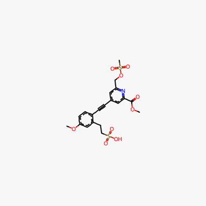 COC(=O)c1cc(C#Cc2ccc(OC)cc2CCS(=O)(=O)O)cc(COS(C)(=O)=O)n1